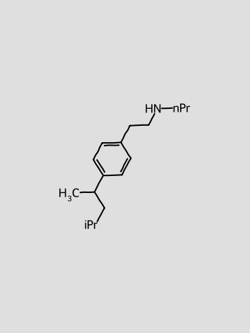 CCCNCCc1ccc(C(C)CC(C)C)cc1